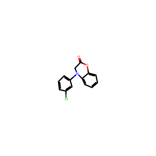 O=C1CN(c2cccc(Cl)c2)c2ccccc2O1